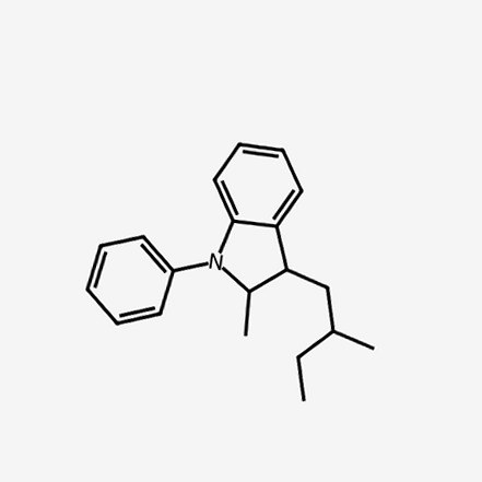 CCC(C)CC1c2ccccc2N(c2ccccc2)C1C